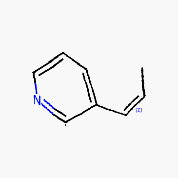 C/C=C\c1[c]nccc1